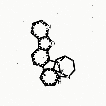 Cc1ccc2c(oc3ncccc32)c1N1C2CCN(c3ccccc3C2)[C@@H]1C